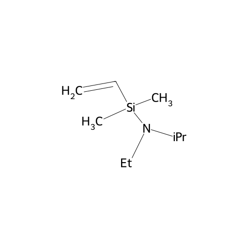 C=C[Si](C)(C)N(CC)C(C)C